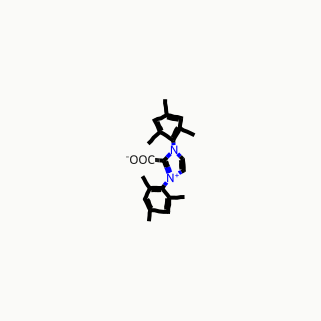 Cc1cc(C)c(-n2cc[n+](-c3c(C)cc(C)cc3C)c2C(=O)[O-])c(C)c1